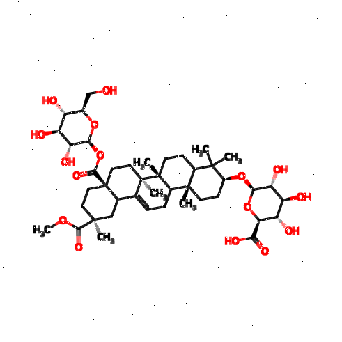 COC(=O)[C@@]1(C)CC[C@]2(C(=O)O[C@@H]3O[C@H](CO)[C@@H](O)[C@H](O)[C@H]3O)CC[C@]3(C)C(=CCC4[C@@]5(C)CC[C@H](O[C@@H]6O[C@H](C(=O)O)[C@@H](O)[C@H](O)[C@H]6O)C(C)(C)C5CC[C@]43C)C2C1